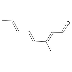 CC=CC=CC(C)=CC=O